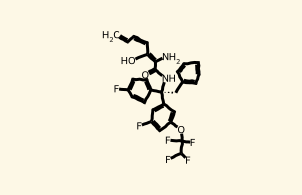 C=C/C=C\C(O)=C(/N)C(=O)N[C@](Cc1ccccc1)(c1ccc(F)cc1)c1cc(F)cc(OC(F)(F)C(F)F)c1